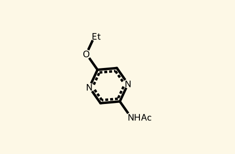 CCOc1cnc(NC(C)=O)cn1